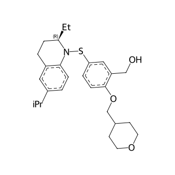 CC[C@@H]1CCc2cc(C(C)C)ccc2N1Sc1ccc(OCC2CCOCC2)c(CO)c1